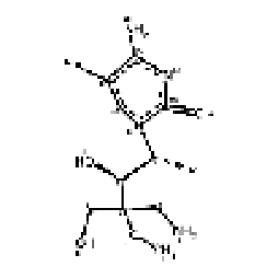 CO[C@](CN)(CO)[C@@H](O)[C@@H](F)n1cc(F)c(N)nc1=O